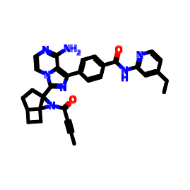 CC#CC(=O)N1C2(c3nc(-c4ccc(C(=O)Nc5cc(CC)ccn5)cc4)c4c(N)nccn34)CCC3CCC312